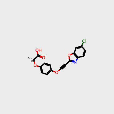 C[C@@H](Oc1ccc(OC#Cc2nc3ccc(Cl)cc3o2)cc1)C(=O)O